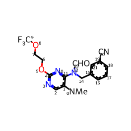 CNc1cnc(OCCOC(F)(F)F)nc1N(C=O)Cc1cccc(C#N)c1